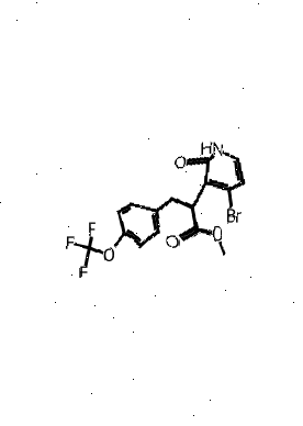 COC(=O)C(Cc1ccc(OC(F)(F)F)cc1)c1c(Br)cc[nH]c1=O